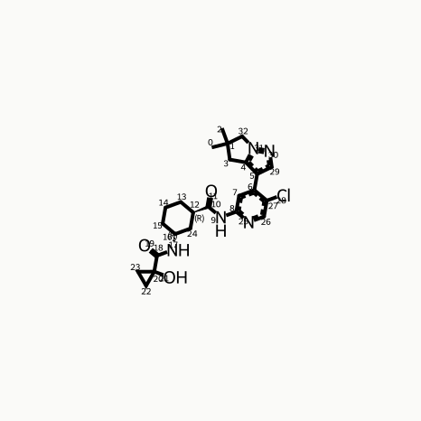 CC1(C)Cc2c(-c3cc(NC(=O)[C@@H]4CCC[C@@H](NC(=O)C5(O)CC5)C4)ncc3Cl)cnn2C1